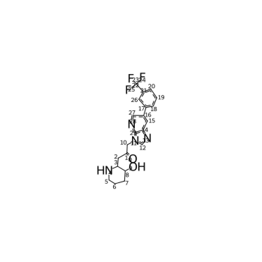 O=C(CC1NCCCC1O)Cn1cnc2cc(-c3cccc(C(F)(F)F)c3)cnc21